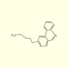 CCCCCc1ccc2cnc3ccccc3c2c1